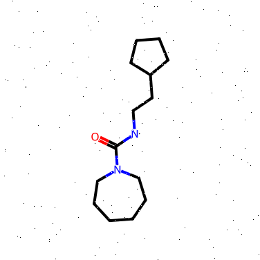 O=C([N]CCC1CCCC1)N1CCCCCC1